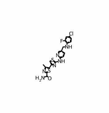 Cc1nc(C(N)=O)sc1-c1csc(Nc2ccc(CNc3ccc(Cl)cc3F)cn2)n1